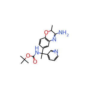 CC1Oc2ccc(C(C)(NC(=O)OC(C)(C)C)c3cccnc3)cc2N=C1N